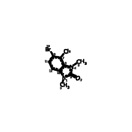 Cn1c(=O)n(C)c2c(Cl)c(Br)ccc21